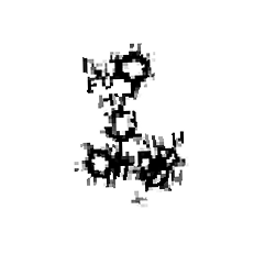 N#Cc1cnc(NCc2ccccc2OC(F)(F)F)nc1NCC12C[C@H]3C[C@H]1C[C@@H](C2)[C@@H]3NCc1ccccc1